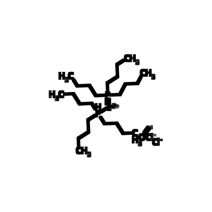 CCCC[PH](CCCC)(CCCC)[Ir+2][PH](CCCC)(CCCC)CCCC.[C]=O.[Cl-].[Cl-]